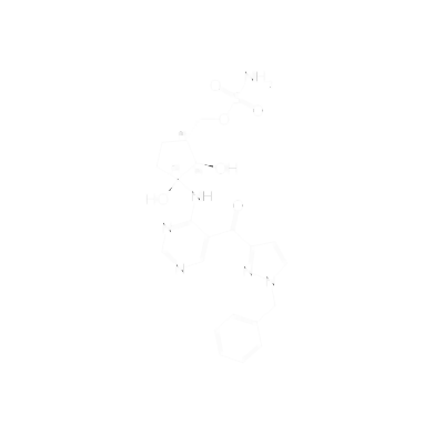 NS(=O)(=O)OC[C@H]1CC[C@@](O)(Nc2ncncc2C(=O)c2ccn(Cc3ccccc3)n2)[C@@H]1O